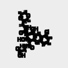 O=C(O)CNC(=O)c1c(O)c(C(=O)NCC2COCCO2)c(O)n(Cc2ccccc2Cl)c1=O